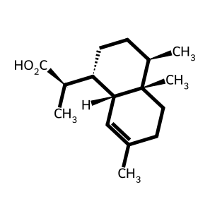 CC1=C[C@@H]2[C@H]([C@@H](C)C(=O)O)CC[C@@H](C)[C@]2(C)CC1